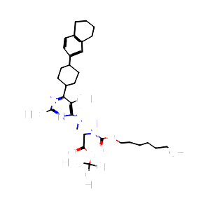 CCCCCCCOC(=O)N[C@@H](CNc1nc(C)nc(C2CCC(c3ccc4c(c3)CCCC4)CC2)c1C)C(=O)OC(C)(C)C